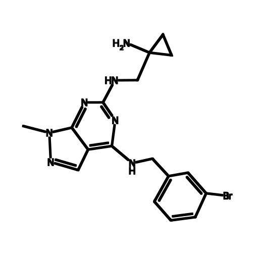 Cn1ncc2c(NCc3cccc(Br)c3)nc(NCC3(N)CC3)nc21